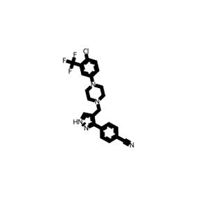 N#Cc1ccc(-c2n[nH]cc2CN2CCN(c3ccc(Cl)c(C(F)(F)F)c3)CC2)cc1